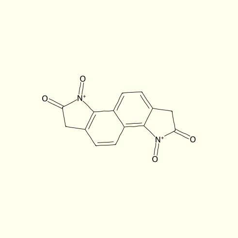 O=C1Cc2ccc3c4c(ccc3c2[N+]1=O)CC(=O)[N+]4=O